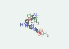 C[C@@H](Oc1ccc2[nH]nc(-c3ccc(N4CC5(C4)CN(S(C)(=O)=O)C5)nc3)c2c1)c1c(Cl)cnc(F)c1Cl